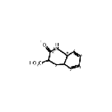 O=C(O)C1CC2C=CC=CC2NC1=O